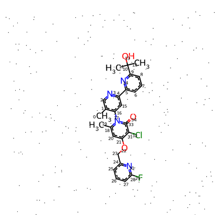 Cc1cnc(-c2cccc(C(C)(C)O)n2)cc1-n1c(C)cc(OCc2cccc(F)n2)c(Cl)c1=O